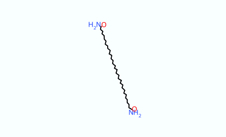 NC(=O)CCCCCCCCCCCCCCCCCCCCCCCCCCCCCCCCCC(N)=O